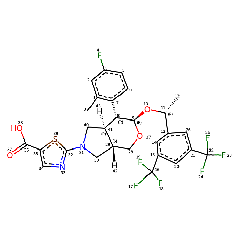 Cc1cc(F)ccc1[C@@H]1[C@@H](O[C@H](C)c2cc(C(F)(F)F)cc(C(F)(F)F)c2)OC[C@@H]2CN(c3ncc(C(=O)O)s3)C[C@H]21